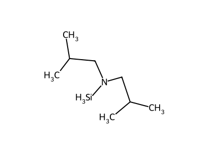 CC(C)CN([SiH3])CC(C)C